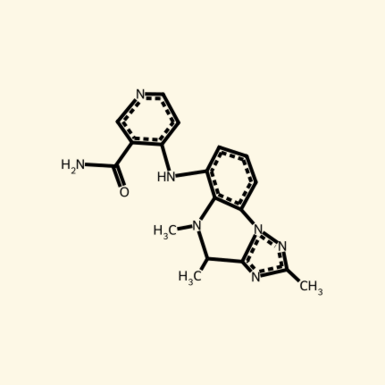 Cc1nc2n(n1)-c1cccc(Nc3ccncc3C(N)=O)c1N(C)C2C